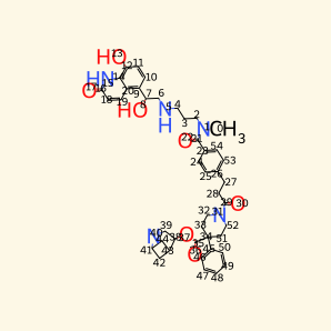 CN(CCCNCC(O)c1ccc(O)c2[nH]c(=O)ccc12)C(=O)c1ccc(CCC(=O)N2CCC(C(=O)OC3CN=C4CC3C4)(c3ccccc3)CC2)cc1